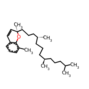 Cc1c[c]cc2c1O[C@](C)(CCC[C@H](C)CCC[C@H](C)CCCC(C)C)C=C2